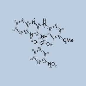 COc1ccc(Nc2nc3ccccc3nc2NS(=O)(=O)c2cccc([N+](=O)[O-])c2)cc1